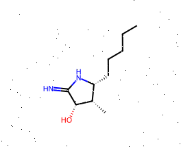 CCCCC[C@H]1NC(=N)[C@@H](O)[C@H]1C